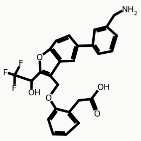 NCc1cccc(-c2ccc3oc(C(O)C(F)(F)F)c(COc4ccccc4CC(=O)O)c3c2)c1